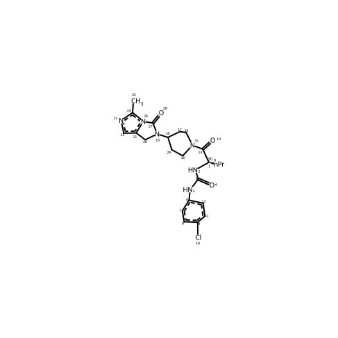 CCC[C@@H](NC(=O)Nc1ccc(Cl)cc1)C(=O)N1CCC(N2Cc3cnc(C)n3C2=O)CC1